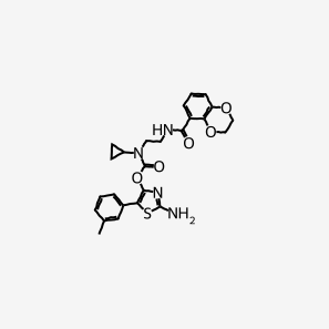 Cc1cccc(-c2sc(N)nc2OC(=O)N(CCNC(=O)c2cccc3c2OCCO3)C2CC2)c1